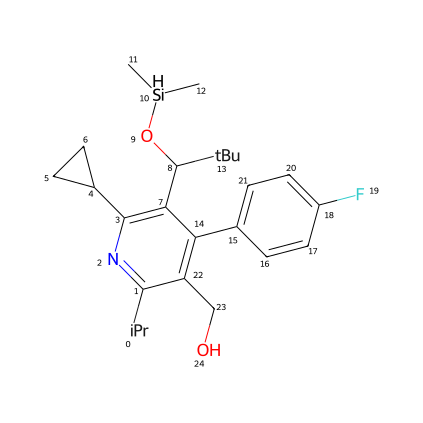 CC(C)c1nc(C2CC2)c(C(O[SiH](C)C)C(C)(C)C)c(-c2ccc(F)cc2)c1CO